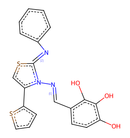 Oc1ccc(/C=N/n2c(-c3cccs3)cs/c2=N\c2ccccc2)c(O)c1O